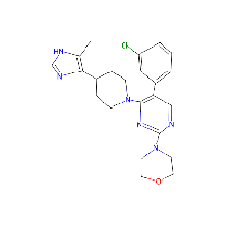 Cc1[nH]cnc1C1CCN(c2nc(N3CCOCC3)ncc2-c2cccc(Cl)c2)CC1